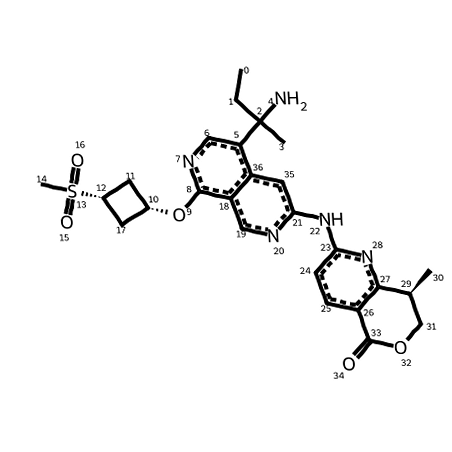 CCC(C)(N)c1cnc(O[C@H]2C[C@@H](S(C)(=O)=O)C2)c2cnc(Nc3ccc4c(n3)[C@@H](C)COC4=O)cc12